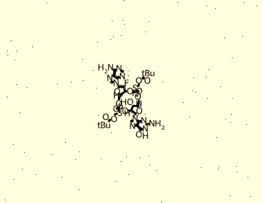 CC(C)(C)C(=O)OCSP1(=O)OC[C@H]2O[C@@H](n3cnc4c(=O)[nH]c(N)nc43)[C@@H](OP(=O)(SCOC(=O)C(C)(C)C)OC[C@H]3O[C@@H](n4cnc5c(N)ncnc54)[C@@H](F)C3O1)C2O